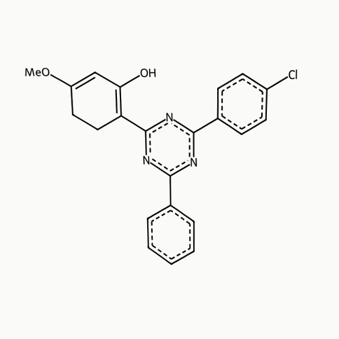 COC1=CC(O)=C(c2nc(-c3ccccc3)nc(-c3ccc(Cl)cc3)n2)CC1